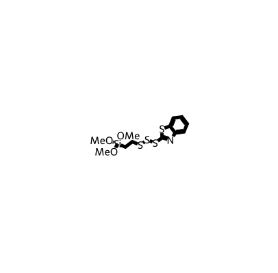 CO[Si](CCSSSc1nc2ccccc2s1)(OC)OC